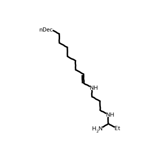 CCCCCCCCCCCCCCCCC=CNCCCNC(N)CC